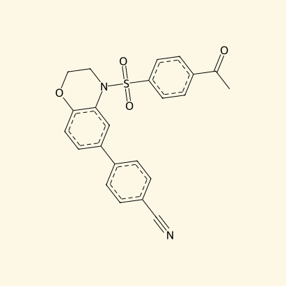 CC(=O)c1ccc(S(=O)(=O)N2CCOc3ccc(-c4ccc(C#N)cc4)cc32)cc1